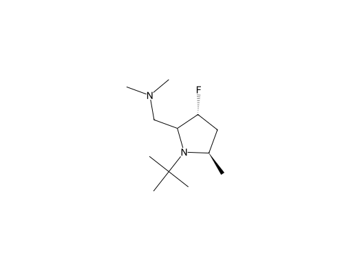 C[C@@H]1C[C@@H](F)C(CN(C)C)N1C(C)(C)C